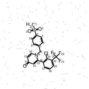 CS(=O)(=O)c1ccc(Cn2ccc(=O)cc2-c2cccc(C(F)(F)F)c2Cl)cc1